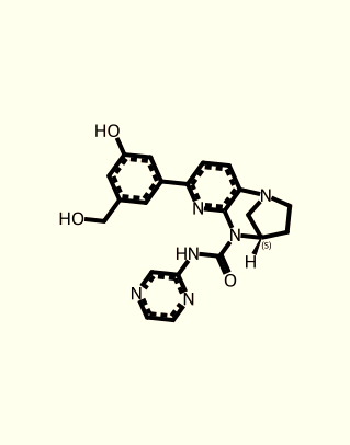 O=C(Nc1cnccn1)N1c2nc(-c3cc(O)cc(CO)c3)ccc2N2CC[C@H]1C2